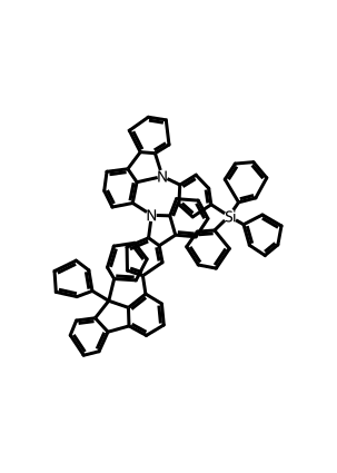 c1ccc(C2(c3ccccc3)c3ccccc3-c3cccc(-c4ccc5c(c4)c4ccccc4n5-c4cccc5c6ccccc6n(-c6ccc([Si](c7ccccc7)(c7ccccc7)c7ccccc7)cc6)c45)c32)cc1